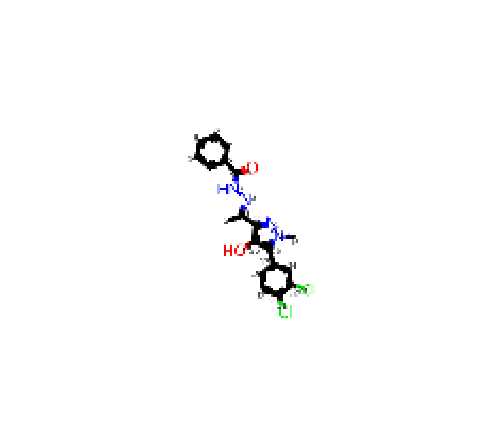 C/C(=N\NC(=O)c1ccccc1)c1nn(C)c(-c2ccc(Cl)c(Cl)c2)c1O